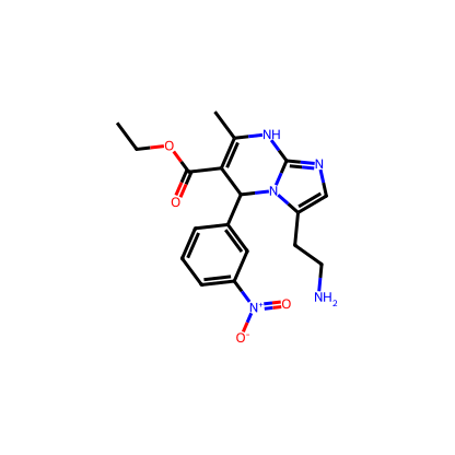 CCOC(=O)C1=C(C)Nc2ncc(CCN)n2C1c1cccc([N+](=O)[O-])c1